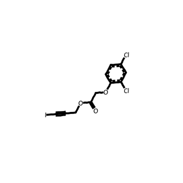 O=C(COc1ccc(Cl)cc1Cl)OCC#CI